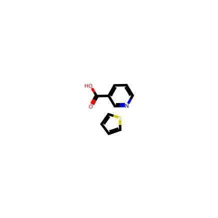 O=C(O)c1cccnc1.c1ccsc1